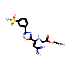 CSCOC(=O)CN/C(=C\C(=N)C(F)(F)F)c1nc(-c2cccc(S(C)(=O)=O)c2)no1